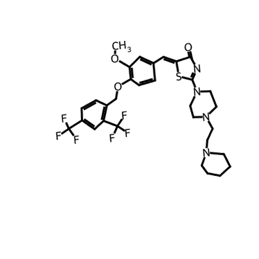 COc1cc(/C=C2\SC(N3CCN(CCN4CCCCC4)CC3)=NC2=O)ccc1OCc1ccc(C(F)(F)F)cc1C(F)(F)F